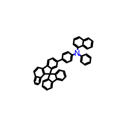 c1ccc(N(c2ccc(-c3ccc4c(c3)C3(c5ccccc5-c5ccccc53)c3c-4ccc4ccccc34)cc2)c2cccc3ccccc23)cc1